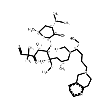 CCN(C[C@H](C)C[C@@](C)(OC)[C@H](O[C@@H]1O[C@H](C)C[C@H](N(C)C)[C@H]1O)[C@@H](C)C(=O)C(C)(C)C=O)[C@H](CO)CCCN1CCc2ncccc2C1